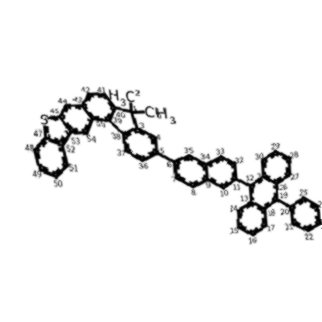 CC1(C)c2cc(-c3ccc4cc(-c5c6ccccc6c(-c6ccccc6)c6ccccc56)ccc4c3)ccc2-c2c1ccc1cc3sc4ccccc4c3cc21